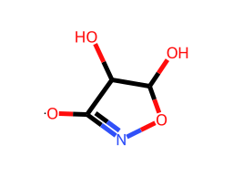 [O]C1=NOC(O)C1O